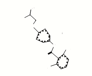 CCCCC(CC)COc1ccc(PC(=O)c2c(C(F)(F)F)cccc2C(F)(F)F)cc1.[LiH]